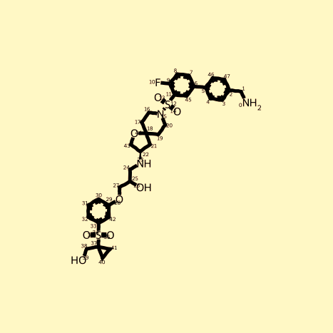 NCc1ccc(-c2ccc(F)c(S(=O)(=O)N3CCC4(CC3)C[C@@H](NCC(O)COc3cccc(S(=O)(=O)C5(CO)CC5)c3)CO4)c2)cc1